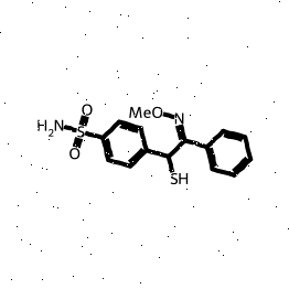 CO/N=C(/c1ccccc1)C(S)c1ccc(S(N)(=O)=O)cc1